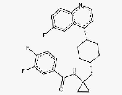 O=C(NC1(C[C@H]2CC[C@@H](c3ccnc4ccc(F)cc43)CC2)CC1)c1ccc(F)c(F)c1